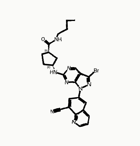 CCCCNC(=O)[C@@H]1CC[C@@H](Nc2ncc3c(Br)nn(-c4cc(C#N)c5ncccc5c4)c3n2)C1